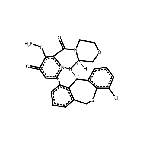 O=C1c2c(OP)c(=O)ccn2N([C@@H]2c3cccc(Cl)c3SCc3cccc(F)c32)[C@@H]2COCCN12